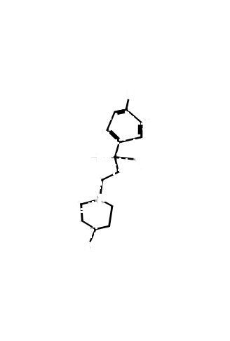 CC(C)(CCN1CCC(O)CC1)c1ccc(C(F)(F)F)cc1